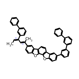 C/C=C(\C=C(/C)c1ccc2oc3c(ccc4c5cc(-c6cccc(-c7cccc(-c8ccccc8)c7)c6)ccc5oc43)c2c1)c1cccc(-c2ccccc2)c1